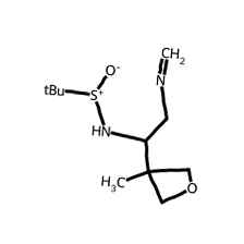 C=NCC(N[S+]([O-])C(C)(C)C)C1(C)COC1